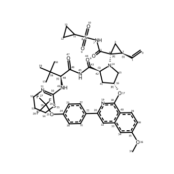 C=C[C@@H]1C[C@@]1(C(=O)NS(=O)(=O)C1CC1)N1C[C@H](Oc2nc(-c3ccc(OC(F)(F)F)cc3)cc3cc(OC)ccc23)C[C@H]1C(=O)NC(=O)[C@@H](NC1=NCCCS1)C(C)(C)C